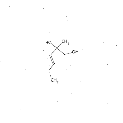 [CH2]CC=CC(C)(O)CO